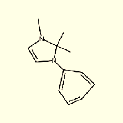 CN1C=CN(c2ccccc2)C1(C)C